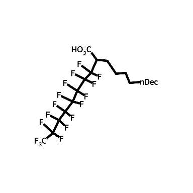 CCCCCCCCCCCCCCC(C(=O)O)C(F)(F)C(F)(F)C(F)(F)C(F)(F)C(F)(F)C(F)(F)C(F)(F)C(F)(F)F